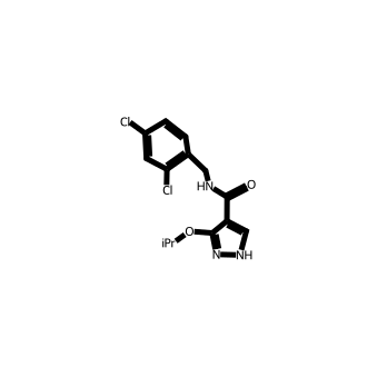 CC(C)Oc1n[nH]cc1C(=O)NCc1ccc(Cl)cc1Cl